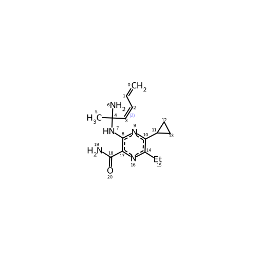 C=C/C=C\C(C)(N)Nc1nc(C2CC2)c(CC)nc1C(N)=O